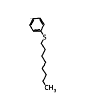 CCCCCCCCSc1cc[c]cc1